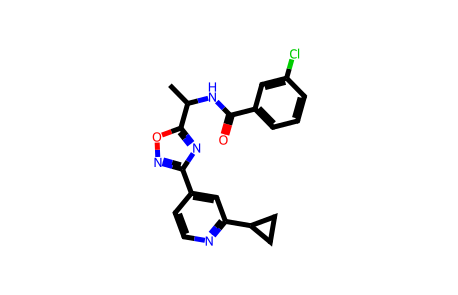 CC(NC(=O)c1cccc(Cl)c1)c1nc(-c2ccnc(C3CC3)c2)no1